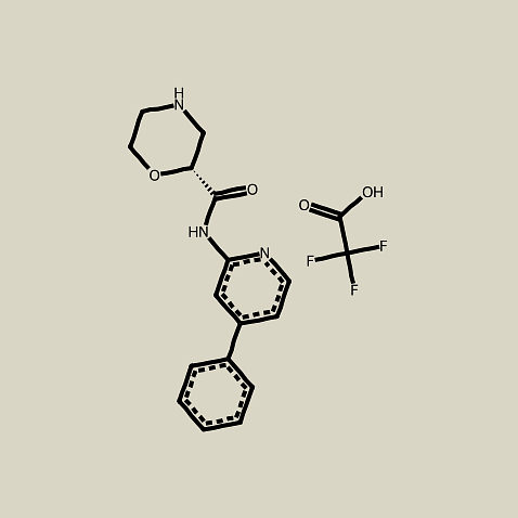 O=C(Nc1cc(-c2ccccc2)ccn1)[C@H]1CNCCO1.O=C(O)C(F)(F)F